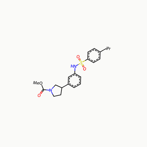 COC(=O)N1CCC(c2cccc(NS(=O)(=O)c3ccc(C(C)C)cc3)c2)C1